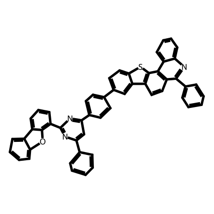 c1ccc(-c2cc(-c3ccc(-c4ccc5sc6c(ccc7c(-c8ccccc8)nc8ccccc8c76)c5c4)cc3)nc(-c3cccc4c3oc3ccccc34)n2)cc1